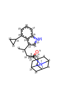 CNC12CC3CC(C1)N(C(=O)CC(C)c1c[nH]c4cccc(C5CC5)c14)C(C3)C2